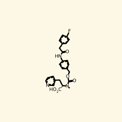 CN(C(=O)OCc1ccc(NC(=O)Cc2ccc(F)cc2)cc1)[C@@H](Cc1cccnc1)C(=O)O